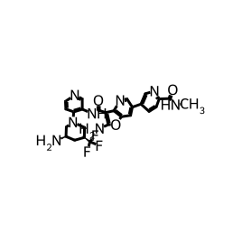 CNC(=O)c1ccc(-c2cnc3c(C(=O)Nc4cnccc4N4C[C@H](N)C[C@H](C(F)(F)F)C4)c(N)oc3c2)cn1